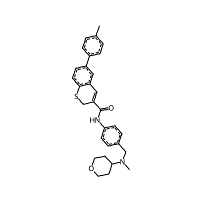 Cc1ccc(-c2ccc3c(c2)C=C(C(=O)Nc2ccc(CN(C)C4CCOCC4)cc2)CS3)cc1